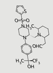 CC1CCCC(CC=O)N1C[C@H]1CN(S(=O)(=O)c2cccs2)CCN1c1ccc([C@@](C)(O)C(F)(F)F)cc1